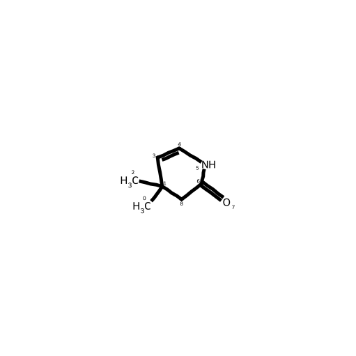 CC1(C)C=CNC(=O)C1